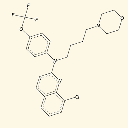 FC(F)(F)Oc1ccc(N(CCCCN2CCOCC2)c2ccc3cccc(Cl)c3n2)cc1